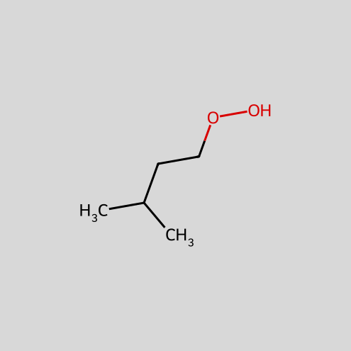 CC(C)CCOO